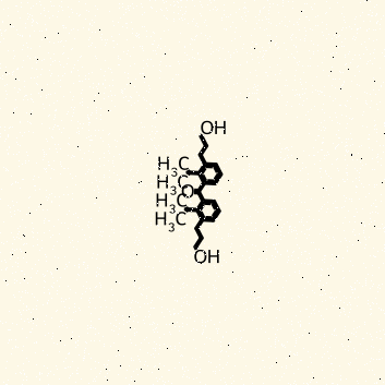 CC(C)c1c(CCCO)cccc1C(=O)c1cccc(CCCO)c1C(C)C